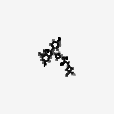 O=C(CC1CC(F)(F)C1)N[C@H]1C[C@@H](c2c(-c3ccc(F)cc3)[nH]c3c(F)cc(F)cc32)C1